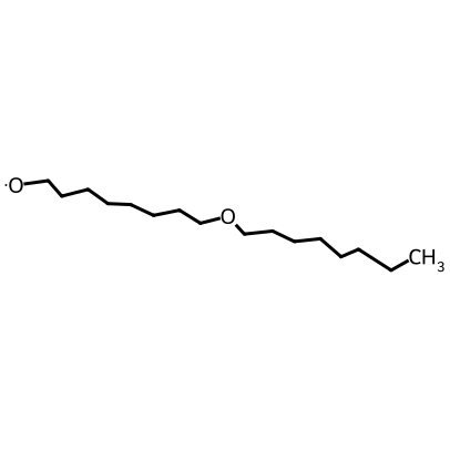 CCCCCCCCOCCCCCCCC[O]